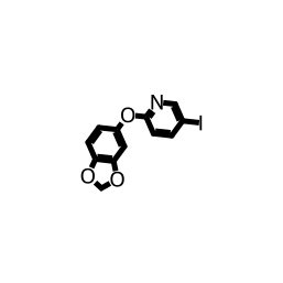 Ic1ccc(Oc2ccc3c(c2)OCO3)nc1